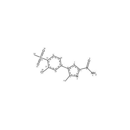 Cc1nc(C(N)=O)sc1-c1ccc(S(C)(=O)=O)c(Cl)c1